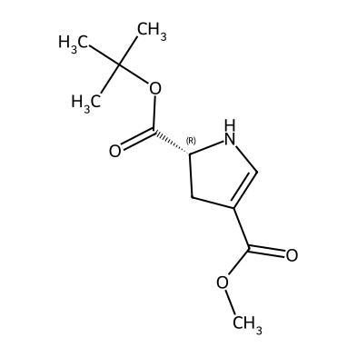 COC(=O)C1=CN[C@@H](C(=O)OC(C)(C)C)C1